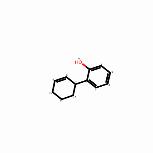 Oc1ccccc1C1C=CCCC1